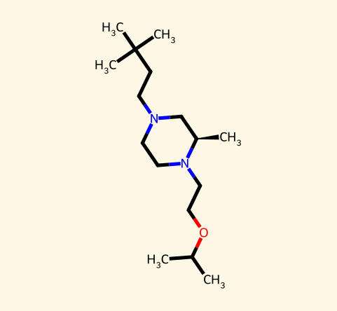 CC(C)OCCN1CCN(CCC(C)(C)C)C[C@H]1C